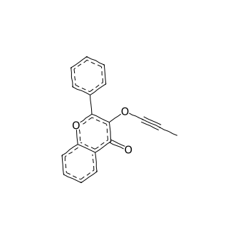 CC#COc1c(-c2ccccc2)oc2ccccc2c1=O